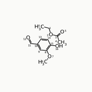 CCOC(C)=O.COc1cc(C=O)ccc1O